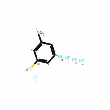 F.F.F.F.F.O=[N+]([O-])c1cccc([S])c1